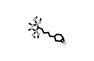 CO[Si](OC)(OC)C(CCCCC1CCC2OC2C1)[Si](OC)(OC)OC